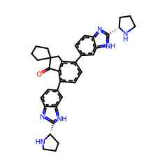 O=C1c2c(-c3ccc4nc([C@@H]5CCCN5)[nH]c4c3)ccc(-c3ccc4nc([C@@H]5CCCN5)[nH]c4c3)c2CC12CCCC2